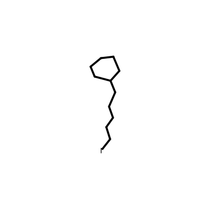 ICCCCCC1CCCCC1